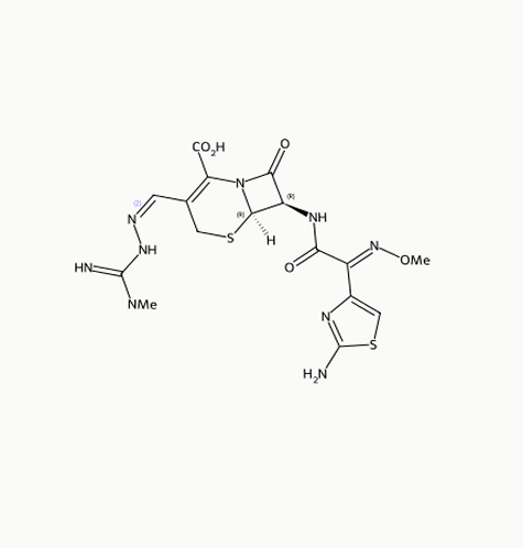 CNC(=N)N/N=C\C1=C(C(=O)O)N2C(=O)[C@@H](NC(=O)C(=NOC)c3csc(N)n3)[C@H]2SC1